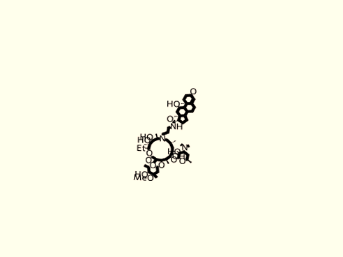 CC[C@H]1OC(=O)C(C)[C@@H](O[C@@H]2C[C@](C)(OC)[C@H](O)C(C)O2)[C@H](C)[C@@H](O[C@@H]2O[C@H](C)C[C@@H](N(C)C)[C@H]2O)[C@](C)(O)C[C@@H](C)CN(CCCNC(=O)[C@H]2CCC3C4CCC5=CC(=O)CC[C@]5(C)C4[C@@H](O)C[C@@]32C)[C@H](C)[C@@H](O)[C@]1(C)O